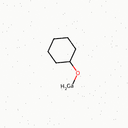 [GaH2][O]C1CCCCC1